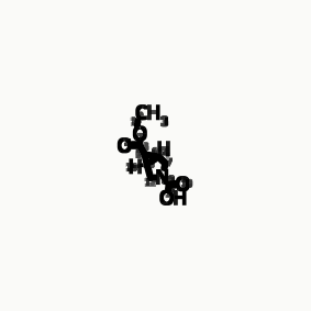 CCOC(=O)C1[C@H]2CN(C(=O)O)C[C@@H]12